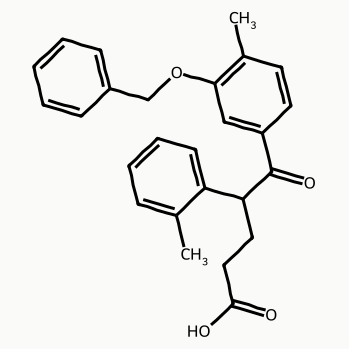 Cc1ccc(C(=O)C(CCC(=O)O)c2ccccc2C)cc1OCc1ccccc1